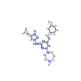 CN1CCCN(c2nc(/C=C/c3cccc(F)c3)nc(Nc3cc(C4CC4)[nH]n3)n2)CC1